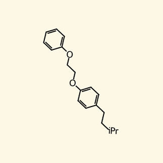 CC(C)CCc1ccc(OCCOc2ccccc2)cc1